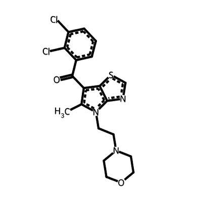 Cc1c(C(=O)c2cccc(Cl)c2Cl)c2scnc2n1CCN1CCOCC1